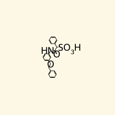 O=C(Nc1cccc(OCc2ccccc2)c1)C(c1ccccc1)S(=O)(=O)O